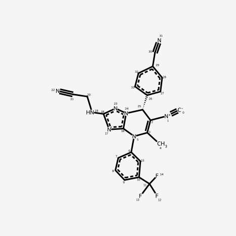 [C-]#[N+]C1=C(C)N(c2cccc(C(F)(F)F)c2)c2nc(NCC#N)nn2[C@@H]1c1ccc(C#N)cc1